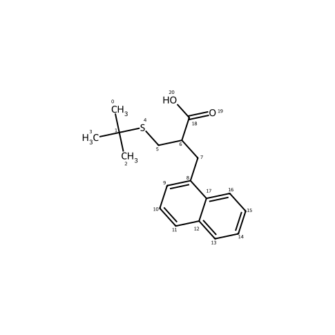 CC(C)(C)SCC(Cc1cccc2ccccc12)C(=O)O